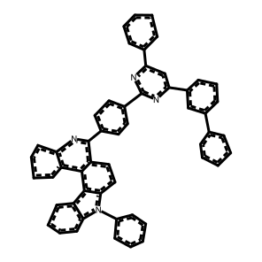 c1ccc(-c2cccc(-c3cc(-c4ccccc4)nc(-c4ccc(-c5nc6ccccc6c6c5ccc5c6c6ccccc6n5-c5ccccc5)cc4)n3)c2)cc1